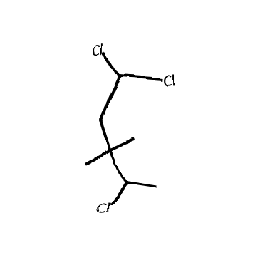 CC(Cl)C(C)(C)CC(Cl)Cl